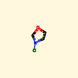 Cl[n+]1ccoc1